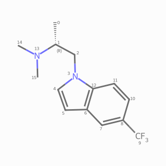 C[C@H](Cn1ccc2cc(C(F)(F)F)ccc21)N(C)C